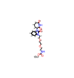 CC(C)(C)OC(=O)NCCOCCOCCn1c(=O)n(C2CCCC(=O)NC2=O)c2ccccc21